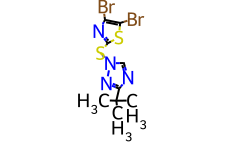 CC(C)(C)c1ncn(Sc2nc(Br)c(Br)s2)n1